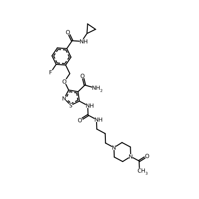 CC(=O)N1CCN(CCCNC(=O)Nc2snc(OCc3cc(C(=O)NC4CC4)ccc3F)c2C(N)=O)CC1